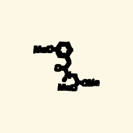 COc1cccc(CC(=O)N(C)CC(OC)OC)c1